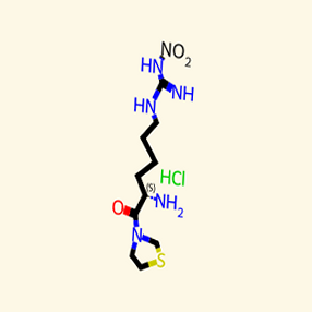 Cl.N=C(NCCCC[C@H](N)C(=O)N1CCSC1)N[N+](=O)[O-]